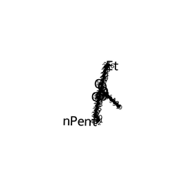 C=CCCCCCCCC(=O)OC(COC(=O)CCCCCCC/C=C\CC)COC(=O)CCCCCCC/C=C\C/C=C\CCCCC